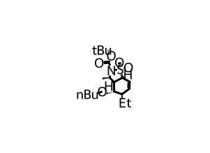 CCCCOC[C@@H]1[C@@H]2[C@@H](C)N(C(=O)OC(C)(C)C)S(=O)(=O)[C@@H]2C=C[C@H]1CC